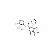 C[C@H](Nc1ccnc(Cl)c1[N+](=O)[O-])c1cc2cccc(C(F)(F)F)c2c(=O)n1-c1ccccc1